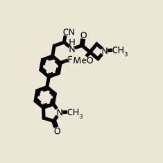 COC1(C(=O)NC(C#N)Cc2ccc(-c3ccc4c(c3)N(C)C(=O)C4)cc2F)CN(C)C1